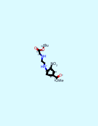 COC(=O)c1ccc(NCCNCC(=O)OC(C)(C)C)c([N+](=O)[O-])c1